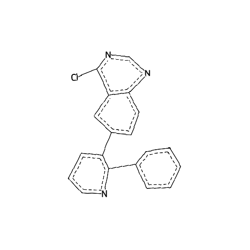 Clc1ncnc2ccc(-c3cccnc3-c3ccccc3)cc12